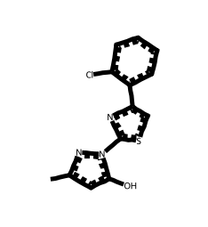 Cc1cc(O)n(-c2nc(-c3ccccc3Cl)cs2)n1